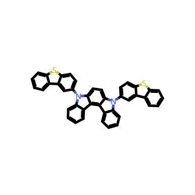 c1ccc2c(c1)sc1ccc(-n3c4ccccc4c4c5c6ccccc6n(-c6ccc7sc8ccccc8c7c6)c5ccc43)cc12